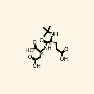 CC(C)(C)N[C@@H](CCC(=O)O)C(=O)N[C@@H](CC(=O)O)C(=O)O